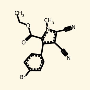 CCOC(=O)c1c(-c2ccc(Br)cc2)c(C#N)c(C#N)n1C